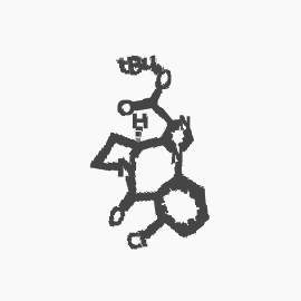 CC(C)(C)OC(=O)c1ncn2c1[C@@H]1CCN1C(=O)c1c(Cl)cccc1-2